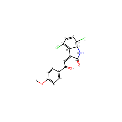 COc1ccc(C(=O)/C=C2\C(=O)Nc3c(Cl)ccc(Cl)c32)cc1